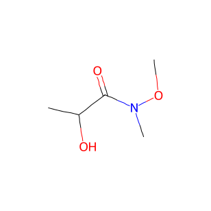 CON(C)C(=O)C(C)O